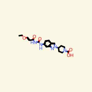 CCO/C=C/C(=O)NC(=O)Nc1ccc2cn(C3CCN(C(=O)O)CC3)nc2c1